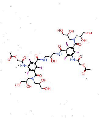 CC(=O)OCC(=O)Nc1c(I)c(C(=O)NCC(O)CNC(=O)c2c(I)c(NC(=O)COC(C)=O)c(I)c(C(=O)N(CC(O)CO)CC(O)CO)c2I)c(I)c(C(=O)N(CC(O)CO)CC(O)CO)c1I